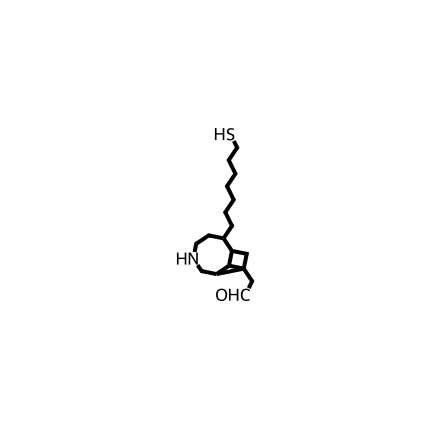 O=CCC12CC3C(CCCCCCCS)CCNCC1C32